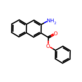 Nc1cc2ccccc2cc1C(=O)Oc1ccccc1